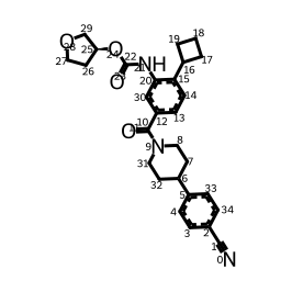 N#Cc1ccc(C2CCN(C(=O)c3ccc(C4CCC4)c(NC(=O)O[C@H]4CCOC4)c3)CC2)cc1